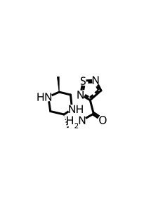 C[C@@H]1CN[C@@H](C)CN1.NC(=O)c1cnsn1